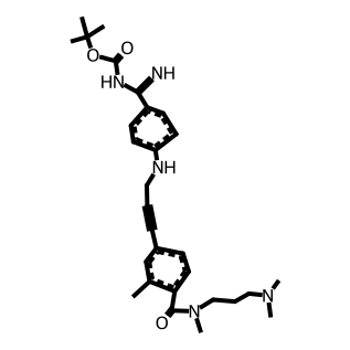 Cc1cc(C#CCNc2ccc(C(=N)NC(=O)OC(C)(C)C)cc2)ccc1C(=O)N(C)CCCN(C)C